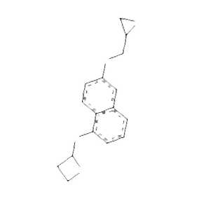 c1cc(OC2CCO2)c2ccc(OCC3CO3)cc2c1